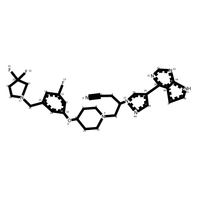 N#CCC(CN1CCC(Oc2cc(F)cc(CN3CCC(F)(F)C3)c2)CC1)n1cc(-c2ncnc3[nH]ccc23)cn1